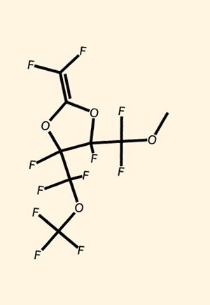 COC(F)(F)C1(F)OC(=C(F)F)OC1(F)C(F)(F)OC(F)(F)F